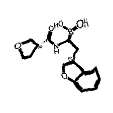 O=C(NC(C[C@@H]1COc2ccccc21)B(O)O)[C@@H]1CCOC1